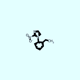 CCc1ccccc1-n1ccnc1[N+](=O)[O-]